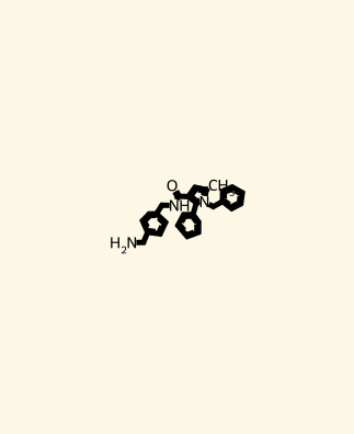 Cc1cc(C(=O)NCc2ccc(CN)cc2)c(-c2ccccc2)n1Cc1ccccc1